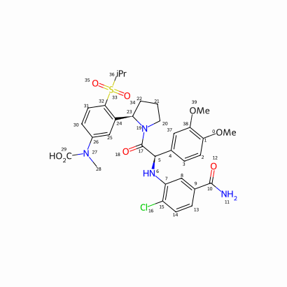 COc1ccc([C@@H](Nc2cc(C(N)=O)ccc2Cl)C(=O)N2CCC[C@@H]2c2cc(N(C)C(=O)O)ccc2S(=O)(=O)C(C)C)cc1OC